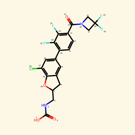 O=C(O)NCC1Cc2cc(-c3ccc(C(=O)N4CC(F)(F)C4)c(F)c3F)cc(Cl)c2O1